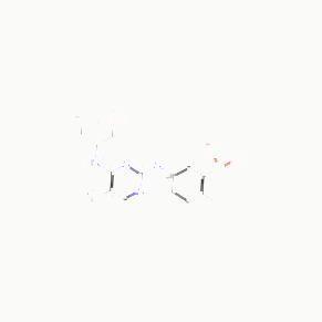 CC[C@H](CO)Nc1nc(Nc2ccc(C)c(S(=O)(=O)F)c2)ncc1Br